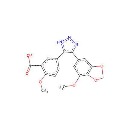 COc1ccc(-c2[nH]nnc2-c2cc(OC)c3c(c2)OCO3)cc1C(=O)O